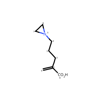 C=C(CCCN1CC1)C(=O)O